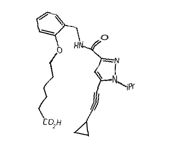 CC(C)n1nc(C(=O)NCc2ccccc2OCCCCCC(=O)O)cc1C#CC1CC1